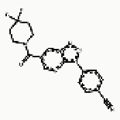 N#Cc1ccc(-n2nnc3cc(C(=O)N4CCC(F)(F)CC4)cnc32)cc1